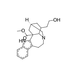 COC(=O)C12C[C@H]3CC(CCO)C1N(CCc1c2[nH]c2ccccc12)C3